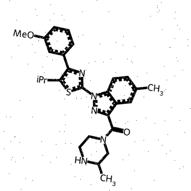 COc1cccc(-c2nc(-n3nc(C(=O)N4CCNC(C)C4)c4cc(C)ccc43)sc2C(C)C)c1